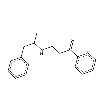 CC(Cc1ccccc1)NCCC(=O)c1ccccn1